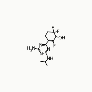 CC(C)Nc1nc(N)nc(C2=C(F)C(O)C(F)(F)CC2)n1